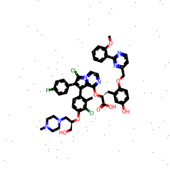 COc1ccccc1-c1nccc(COc2ccc(O)cc2C[C@@H](Oc2nccn3c(Cl)c(-c4ccc(F)cc4)c(-c4ccc(O[C@@H](CO)CN5CCN(C)CC5)c(Cl)c4C)c23)C(=O)O)n1